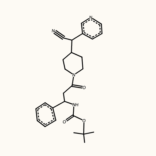 CC(C)(C)OC(=O)NC(CC(=O)N1CCC(C(C#N)c2cccnc2)CC1)c1ccccc1